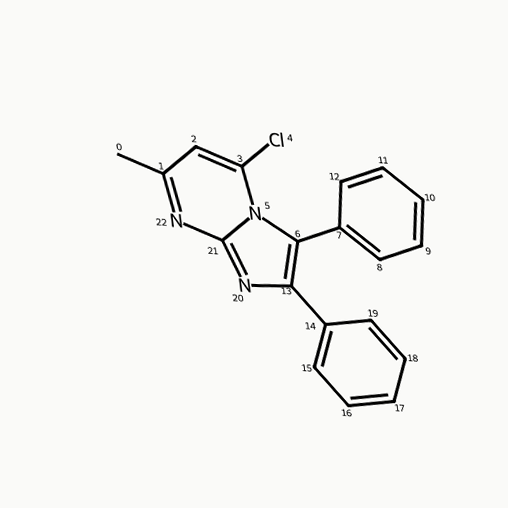 Cc1cc(Cl)n2c(-c3ccccc3)c(-c3ccccc3)nc2n1